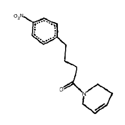 O=C(CCCc1ccc([N+](=O)[O-])cc1)N1CC=CCC1